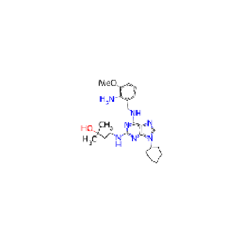 COc1cccc(CNc2nc(NCCC(C)(C)O)nc3c2ncn3C2CCCCC2)c1N